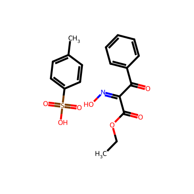 CCOC(=O)C(=NO)C(=O)c1ccccc1.Cc1ccc(S(=O)(=O)O)cc1